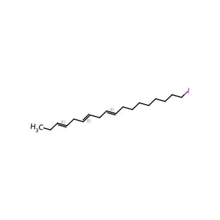 CC/C=C/C/C=C/C/C=C/CCCCCCCCI